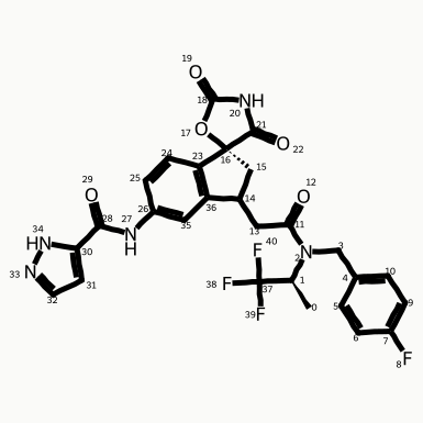 C[C@H](N(Cc1ccc(F)cc1)C(=O)CC1C[C@@]2(OC(=O)NC2=O)c2ccc(NC(=O)c3ccn[nH]3)cc21)C(F)(F)F